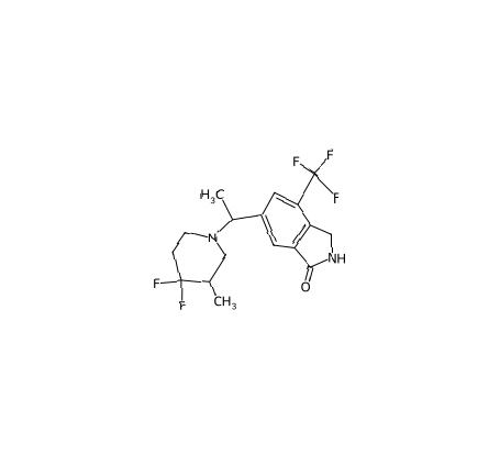 CC(c1cc2c(c(C(F)(F)F)c1)CNC2=O)N1CCC(F)(F)C(C)C1